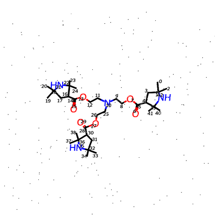 CC1(C)CC(C(=O)OCCN(CCOC(=O)C2CC(C)(C)NC2(C)C)CCOC(=O)C2CC(C)(C)NC2(C)C)C(C)(C)N1